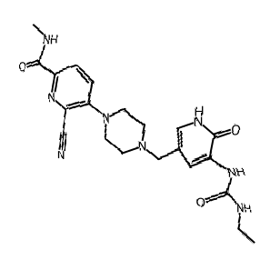 CCNC(=O)Nc1cc(CN2CCN(c3ccc(C(=O)NC)nc3C#N)CC2)c[nH]c1=O